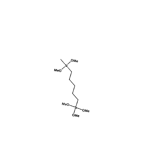 CO[Si](C)(CCCCC[Si](OC)(OC)OC)OC